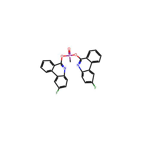 CP(=O)(Oc1nc2ccc(F)cc2c2ccccc12)Oc1nc2ccc(F)cc2c2ccccc12